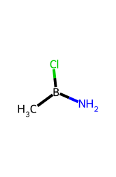 CB(N)Cl